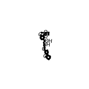 CN(C)S(=O)(=O)N1CCOc2ccc([C@@H](O)CNCCOc3ccc4c(c3)oc3ccccc34)cc21